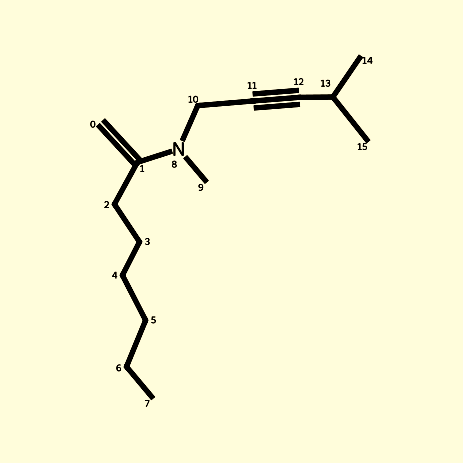 C=C(CCCCCC)N(C)CC#CC(C)C